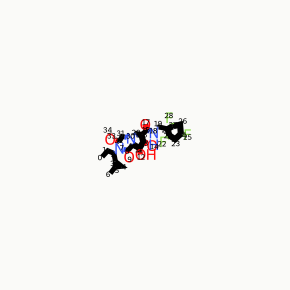 CCC(C1CC1C)N1C(=O)c2c(O)c(=O)c(C(=O)NCc3c(F)cc(F)cc3F)cn2CC1OC